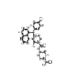 CC(=O)N1CCC(CC(=O)N2CCN(C(c3ccc(Cl)cc3)c3cccc4ncccc34)CC2C)CC1